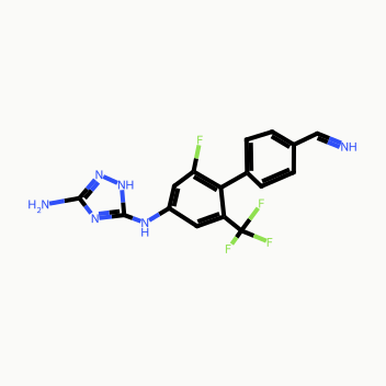 N=Cc1ccc(-c2c(F)cc(Nc3nc(N)n[nH]3)cc2C(F)(F)F)cc1